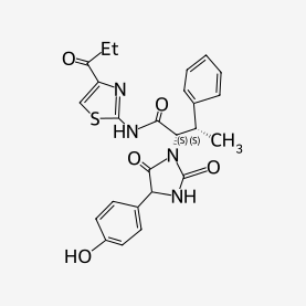 CCC(=O)c1csc(NC(=O)[C@H]([C@@H](C)c2ccccc2)N2C(=O)NC(c3ccc(O)cc3)C2=O)n1